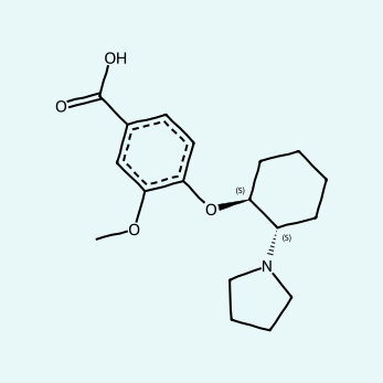 COc1cc(C(=O)O)ccc1O[C@H]1CCCC[C@@H]1N1CCCC1